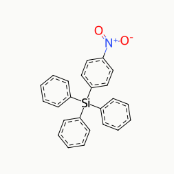 O=[N+]([O-])c1ccc([Si](c2ccccc2)(c2ccccc2)c2ccccc2)cc1